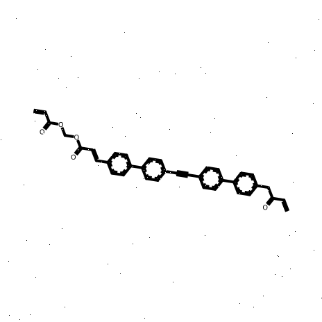 C=CC(=O)Cc1ccc(-c2ccc(C#Cc3ccc(-c4ccc(/C=C/C(=O)OCOC(=O)C=C)cc4)cc3)cc2)cc1